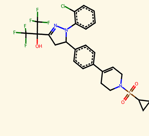 O=S(=O)(C1CC1)N1CC=C(c2ccc(C3CC(C(O)(C(F)(F)F)C(F)(F)F)=NN3c3ccccc3Cl)cc2)CC1